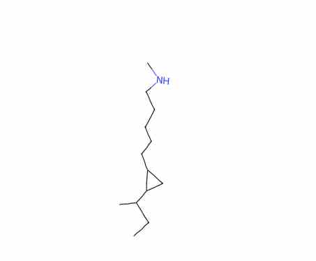 CCC(C)C1CC1CCCCCNC